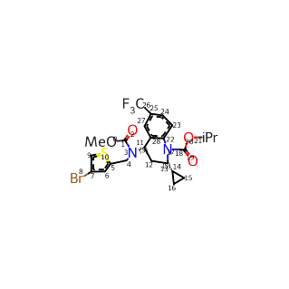 COC(=O)N(Cc1cc(Br)cs1)[C@H]1C[C@@H](C2CC2)N(C(=O)OC(C)C)c2ccc(C(F)(F)F)cc21